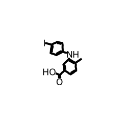 Cc1ccc(C(=O)O)cc1Nc1ccc(I)cc1